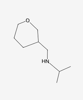 CC(C)NCC1CCCOC1